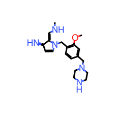 CN/C=C1/C(=N)C=CN1Cc1ccc(CN2CCNCC2)cc1OC